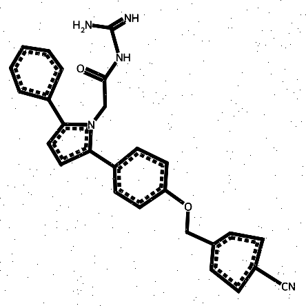 N#Cc1ccc(COc2ccc(-c3ccc(-c4ccccc4)n3CC(=O)NC(=N)N)cc2)cc1